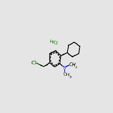 CN(C)c1cc(CCl)ccc1C1CCCCC1.Cl